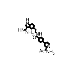 CC(=O)C(N)c1cc(-c2ccc(C(=O)NCCc3ccc4[nH]cc(C(=N)N)c4c3)cc2)ccn1